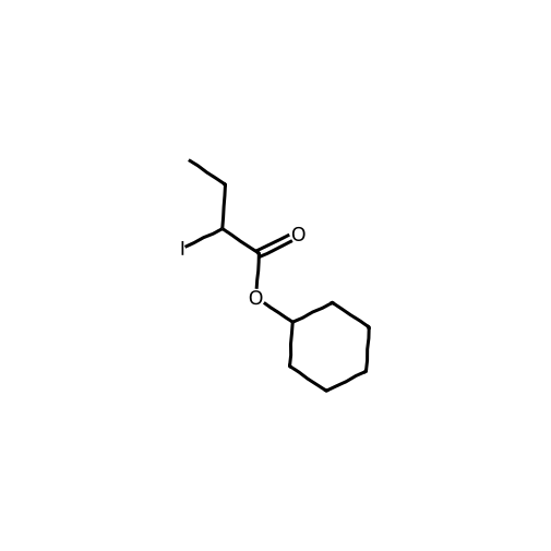 CCC(I)C(=O)OC1CCCCC1